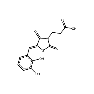 O=C(O)CCN1C(=O)C(=Cc2cccc(O)c2O)SC1=S